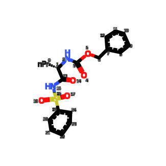 CCC[C@H](NC(=O)OCc1ccccc1)C(=O)NS(=O)(=O)c1ccccc1